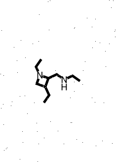 CCNCC1C(CC)CN1CC